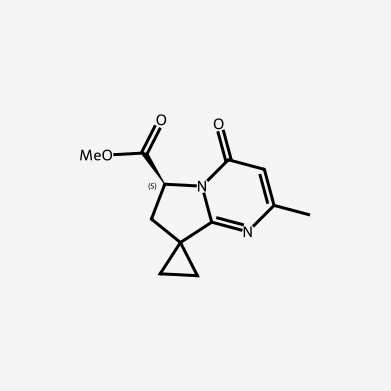 COC(=O)[C@@H]1CC2(CC2)c2nc(C)cc(=O)n21